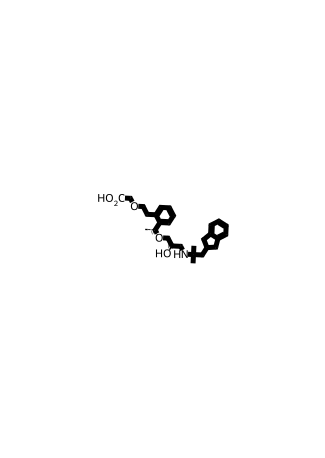 C[C@@H](OC[C@@H](O)CNC(C)(C)CC1Cc2ccccc2C1)c1ccccc1CCOCC(=O)O